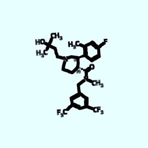 Cc1cc(F)ccc1[C@@H]1CN(CCC(C)(C)O)CC[C@H]1C(=O)N(C)Cc1cc(C(F)(F)F)cc(C(F)(F)F)c1